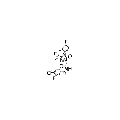 C[C@H](NC(=O)Cn1nc(C(F)(F)F)n(-c2ccc(F)cc2)c1=O)c1ccc(Cl)c(F)c1